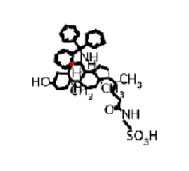 C[C@H](CCC(=O)NCCS(=O)(=O)O)[C@H]1CC[C@H]2[C@@H]3[C@@H](NC(c4ccccc4)(c4ccccc4)c4ccccc4)CC4C[C@H](O)CC[C@]4(C)[C@H]3CC[C@]12C